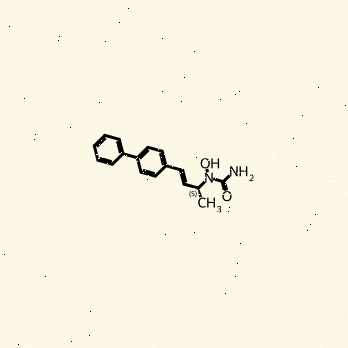 C[C@@H](C=Cc1ccc(-c2ccccc2)cc1)N(O)C(N)=O